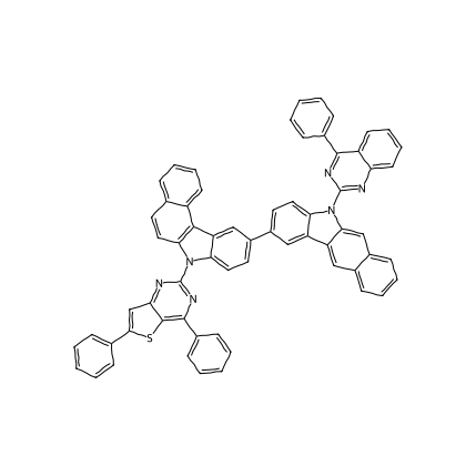 c1ccc(-c2cc3nc(-n4c5ccc(-c6ccc7c(c6)c6cc8ccccc8cc6n7-c6nc(-c7ccccc7)c7ccccc7n6)cc5c5c6ccccc6ccc54)nc(-c4ccccc4)c3s2)cc1